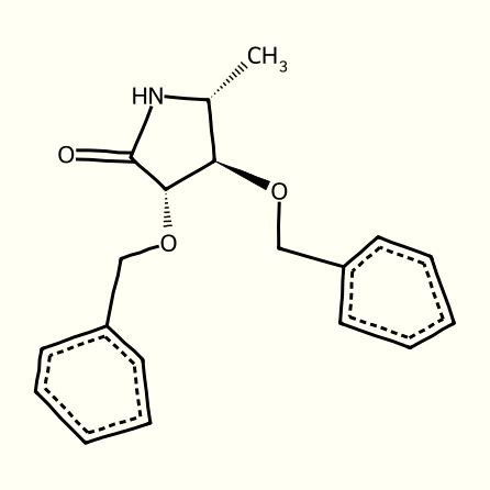 C[C@H]1NC(=O)[C@@H](OCc2ccccc2)[C@@H]1OCc1ccccc1